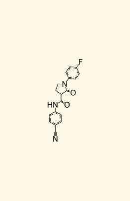 N#Cc1ccc(NC(=O)C2CCN(c3ccc(F)cc3)C2=O)cc1